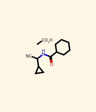 CC(=O)O.N#CC(NC(=O)C1CCCCC1)C1CC1